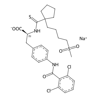 CS(=O)(=O)CCCCC1(C(=S)N[C@@H](Cc2ccc(NC(=O)c3c(Cl)cccc3Cl)cc2)C(=O)[O-])CCCC1.[Na+]